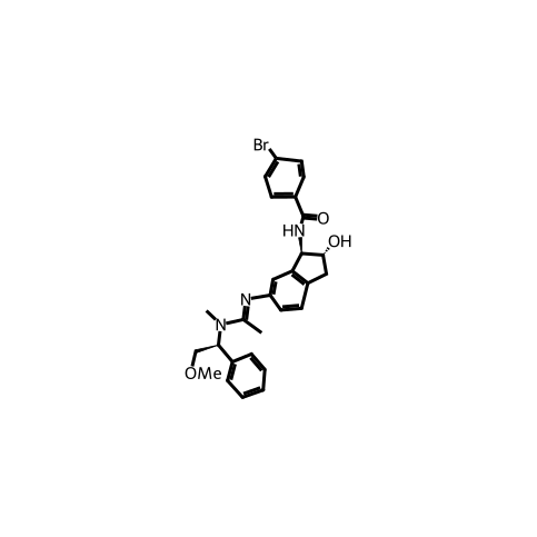 COC[C@H](c1ccccc1)N(C)/C(C)=N/c1ccc2c(c1)[C@@H](NC(=O)c1ccc(Br)cc1)[C@H](O)C2